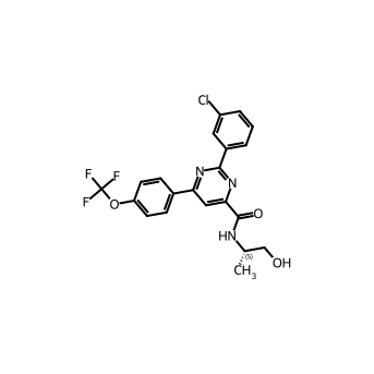 C[C@@H](CO)NC(=O)c1cc(-c2ccc(OC(F)(F)F)cc2)nc(-c2cccc(Cl)c2)n1